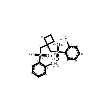 Cc1ccccc1S(=O)(=O)CC1(CS(=O)(=O)c2ccccc2C)CCC1